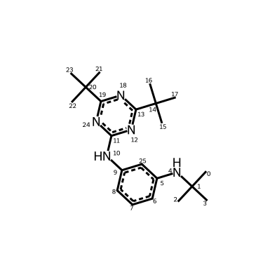 CC(C)(C)Nc1cccc(Nc2nc(C(C)(C)C)nc(C(C)(C)C)n2)c1